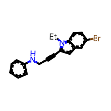 CCn1c(C#CCNc2ccccc2)cc2cc(Br)ccc21